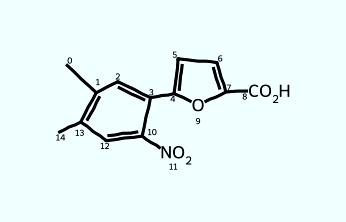 Cc1cc(-c2ccc(C(=O)O)o2)c([N+](=O)[O-])cc1C